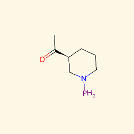 CC(=O)[C@H]1CCCN(P)C1